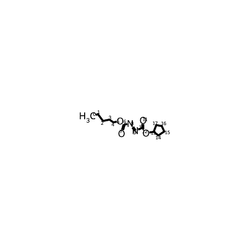 CCCCCOC(=O)N=NC(=O)OC1CCCC1